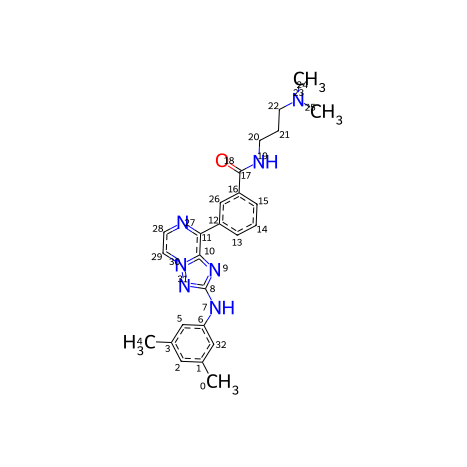 Cc1cc(C)cc(Nc2nc3c(-c4cccc(C(=O)NCCCN(C)C)c4)nccn3n2)c1